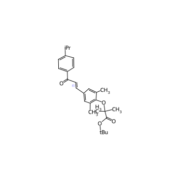 Cc1cc(/C=C/C(=O)c2ccc(C(C)C)cc2)cc(C)c1OC(C)(C)C(=O)OC(C)(C)C